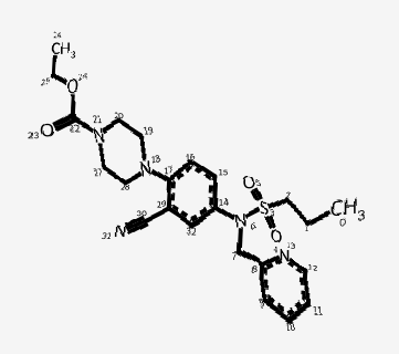 CCCS(=O)(=O)N(Cc1ccccn1)c1ccc(N2CCN(C(=O)OCC)CC2)c(C#N)c1